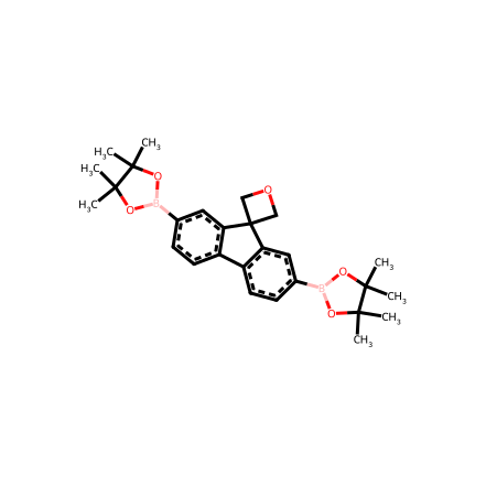 CC1(C)OB(c2ccc3c(c2)C2(COC2)c2cc(B4OC(C)(C)C(C)(C)O4)ccc2-3)OC1(C)C